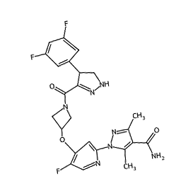 Cc1nn(-c2cc(OC3CN(C(=O)C4=NNCC4c4cc(F)cc(F)c4)C3)c(F)cn2)c(C)c1C(N)=O